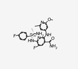 COc1cc(Nc2nc(N[C@H](c3ccc(F)cc3)[C@H](C)N)c(F)cc2C(N)=O)cc(C)n1